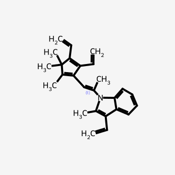 C=CC1=C(C=C)C(C)(C)C(C)=C1/C=C(\C)n1c(C)c(C=C)c2ccccc21